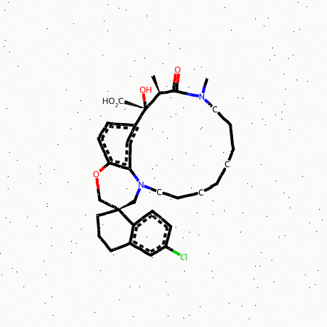 C[C@H]1C(=O)N(C)CCCCCCCCN2C[C@@]3(CCCc4cc(Cl)ccc43)COc3ccc(cc32)[C@@]1(O)C(=O)O